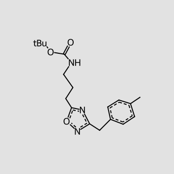 Cc1ccc(Cc2noc(CCCNC(=O)OC(C)(C)C)n2)cc1